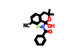 CC1(C)Cc2ccc(C#N)cc2C(O)(N(F)C(=O)c2ccccc2)O1